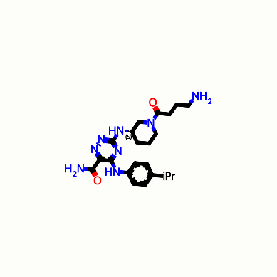 CC(C)c1ccc(Nc2nc(N[C@H]3CCCN(C(=O)CCCN)C3)nnc2C(N)=O)cc1